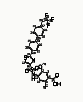 COc1cc(C(=O)O)c(F)cc1NS(=O)(=O)c1csc(-c2ccc(-c3ccc(CC(F)(F)F)cc3)cc2)n1